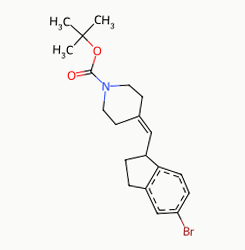 CC(C)(C)OC(=O)N1CCC(=CC2CCc3cc(Br)ccc32)CC1